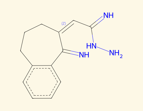 N=C(/C=C1/CCCc2ccccc2C1=N)NN